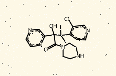 CC(C)(c1ccncc1Cl)C(O)(C(=O)N1CCNCC1)c1cnccn1